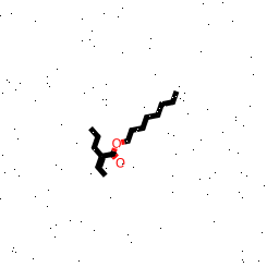 CC=C(CCC)C(=O)OCCCCCCCC